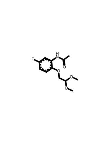 COC(COc1ccc(F)cc1NC(C)=O)OC